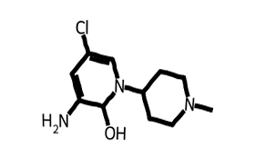 CN1CCC(N2C=C(Cl)C=C(N)C2O)CC1